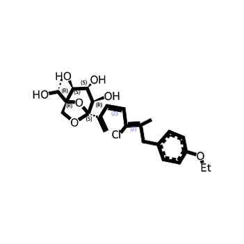 C=C(/C=C\C(Cl)=C(/C)Cc1ccc(OCC)cc1)[C@]12OC[C@]([C@@H](C)O)(O1)[C@@H](O)[C@H](O)[C@H]2O